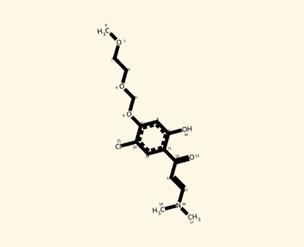 COCCOCOc1cc(O)c(C(=O)/C=C/N(C)C)cc1Cl